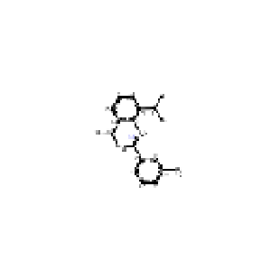 C/C(=N\c1c(C(C)C)cccc1C(C)C)c1cccc(Br)c1